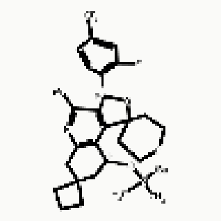 CC(C)c1nc2c(c3c1[C@@H](c1ccc(C(F)(F)F)cc1F)OC31CCOCC1)[C@@H](O[Si](C)(C)C(C)(C)C)CC1(CCC1)C2